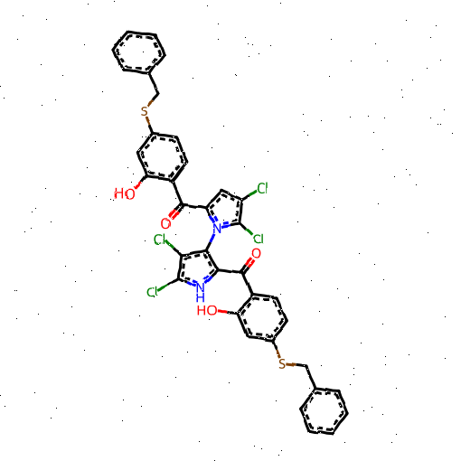 O=C(c1ccc(SCc2ccccc2)cc1O)c1[nH]c(Cl)c(Cl)c1-n1c(C(=O)c2ccc(SCc3ccccc3)cc2O)cc(Cl)c1Cl